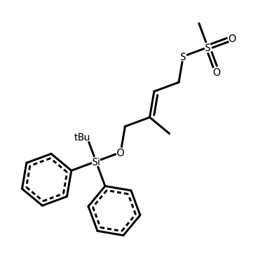 C/C(=C\CSS(C)(=O)=O)CO[Si](c1ccccc1)(c1ccccc1)C(C)(C)C